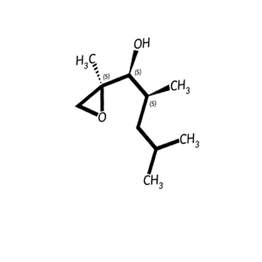 CC(C)C[C@H](C)[C@H](O)[C@]1(C)CO1